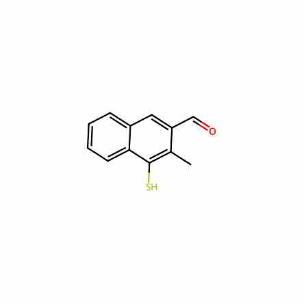 Cc1c(C=O)cc2ccccc2c1S